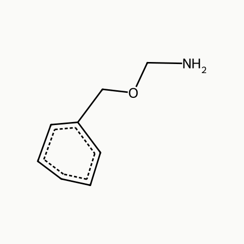 NCOCc1ccccc1